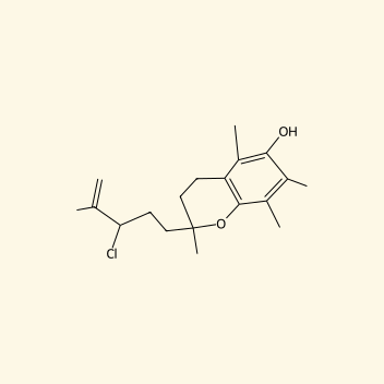 C=C(C)C(Cl)CCC1(C)CCc2c(C)c(O)c(C)c(C)c2O1